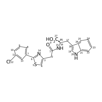 O=C(Cc1csc(-c2cccc(Cl)c2)n1)N[C@H](Cc1c[nH]c2ccccc12)C(=O)O